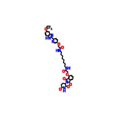 O=C(COc1ccc(-c2nc3cc(OC(F)(F)F)ccc3[nH]2)nc1)NCCCCCCCCNC(=O)COc1cccc2c1C(=O)N(C1CCC(=O)NC1=O)C2=O